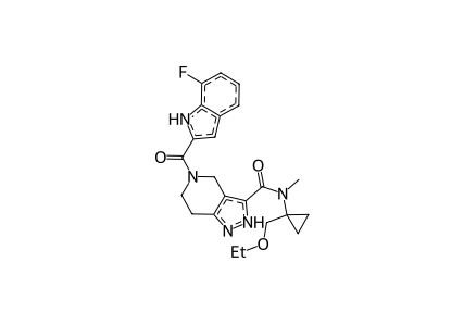 CCOCC1(N(C)C(=O)c2[nH]nc3c2CN(C(=O)c2cc4cccc(F)c4[nH]2)CC3)CC1